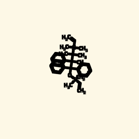 C=C[Si](C)(C)OC(c1ccccc1)(c1ccccc1)C(C)(c1ccccc1)C(C)(C)[Si](C)(C)C=C